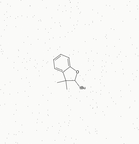 CC(C)(C)C1Oc2ccccc2C1(C)C